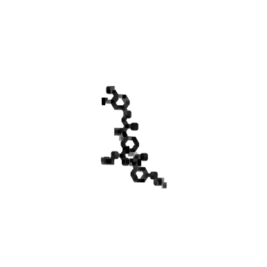 CC(C)(C)OC(=O)N1C[C@@H](NC(=O)COc2ccc(Cl)c(F)c2)CC[C@@H]1C(=O)Nc1cccc(OC(F)(F)F)c1